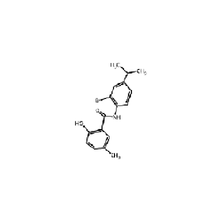 Cc1ccc(O)c(C(=O)Nc2ccc(C(C)C)cc2Br)c1